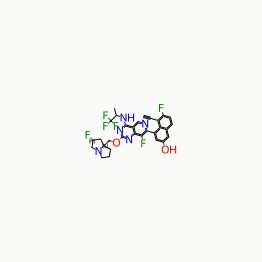 C#Cc1c(F)ccc2cc(O)cc(-c3ncc4c(NC(C)C(F)(F)F)nc(OC[C@@]56CCCN5C[C@H](F)C6)nc4c3F)c12